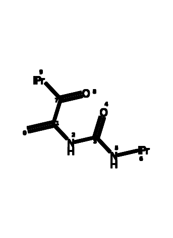 C=C(NC(=O)NC(C)C)C(=O)C(C)C